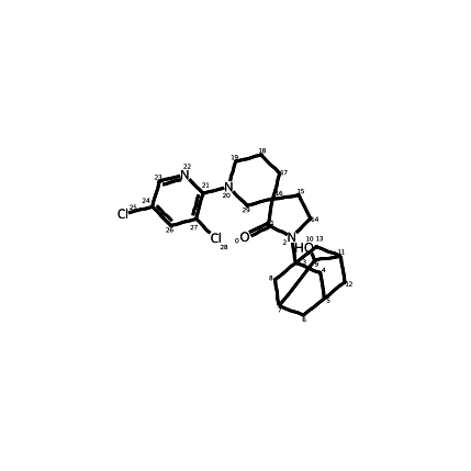 O=C1N(C23CC4CC(C2)C(O)C(C4)C3)CCC12CCCN(c1ncc(Cl)cc1Cl)C2